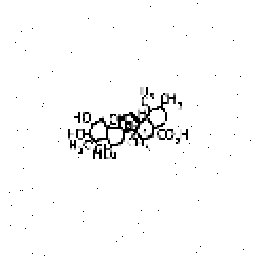 CC1CC[C@]2(C(=O)O)CCC3(C)C(=CCC4[C@@]5(C)CC(O)[C@H](O)C(C)(C)C5[C@H](O)C[C@]43C)[C@@H]2[C@H]1C